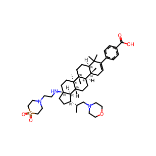 CC(CN1CCOCC1)[C@@H]1CC[C@]2(NCCN3CCS(=O)(=O)CC3)CC[C@]3(C)[C@H](CC[C@@H]4[C@@]5(C)CC=C(c6ccc(C(=O)O)cc6)C(C)(C)[C@@H]5CC[C@]43C)[C@@H]12